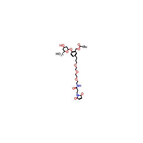 CC(C)(C)C(=O)OCc1cc(CCCOCCOCCOCCNC(=O)CCN2C(=O)C=CC2=O)ccc1OC1CC(O)CC(C(=O)O)O1